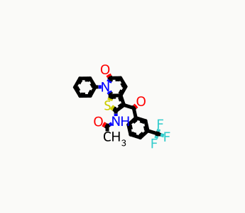 CC(=O)Nc1sc2c(ccc(=O)n2-c2ccccc2)c1C(=O)c1cccc(C(F)(F)F)c1